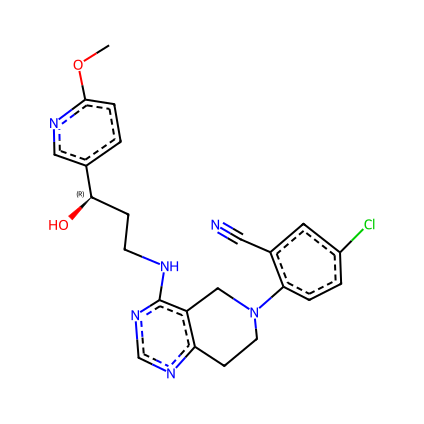 COc1ccc([C@H](O)CCNc2ncnc3c2CN(c2ccc(Cl)cc2C#N)CC3)cn1